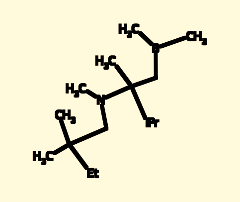 CCC(C)(C)CN(C)C(C)(CB(C)C)C(C)C